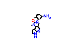 Cc1ccc(N)cc1N1Cc2cnc3[nH]ccc3c2N(C)C1=O